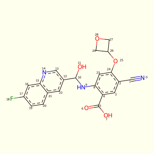 N#Cc1cc(C(=O)O)c(NC(O)c2cnc3cc(F)ccc3c2)cc1OC1COC1